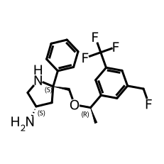 C[C@@H](OC[C@@]1(c2ccccc2)C[C@H](N)CN1)c1cc(CF)cc(C(F)(F)F)c1